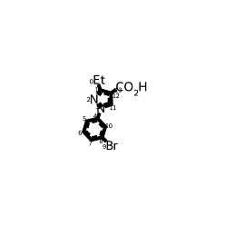 CCc1nn(-c2cccc(Br)c2)cc1C(=O)O